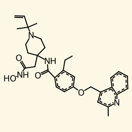 C=CC(C)(C)N1CCC(CC(=O)NO)(NC(=O)c2ccc(OCc3cc(C)nc4ccccc34)cc2CC)CC1